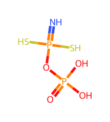 N=P(S)(S)OP(=O)(O)O